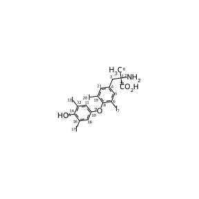 C[C@](N)(Cc1cc(I)c(Oc2cc(I)c(O)c(I)c2)c(I)c1)C(=O)O